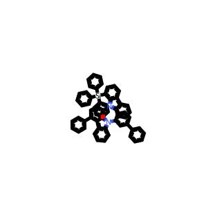 c1ccc(-c2cccc(-n3c4ccccc4c4c(-c5ccccc5)ccc(-n5c6ccccc6c6cccc([Si](c7ccccc7)(c7ccccc7)c7ccccc7)c65)c43)c2)cc1